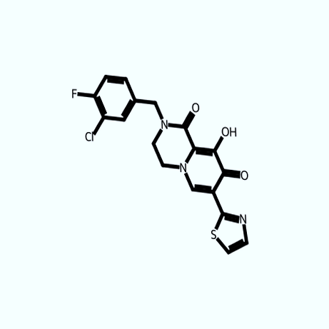 O=C1c2c(O)c(=O)c(-c3nccs3)cn2CCN1Cc1ccc(F)c(Cl)c1